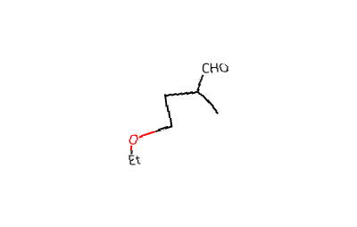 CCOCCC(C)C=O